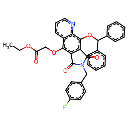 CCOC(=O)COc1c2c(c(OC(c3ccccc3)c3ccccc3)c3ncccc13)C(=O)N(Cc1ccc(F)cc1)C2=O